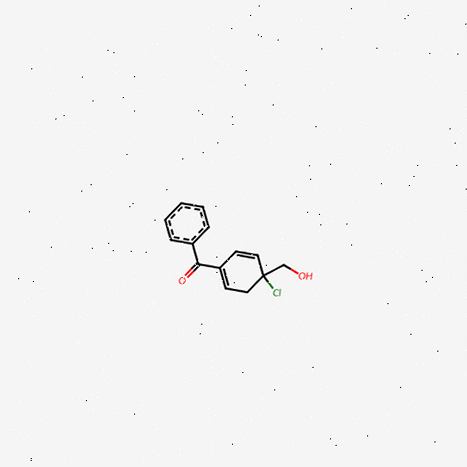 O=C(C1=CCC(Cl)(CO)C=C1)c1ccccc1